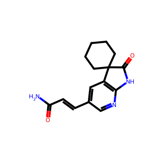 NC(=O)C=Cc1cnc2c(c1)C1(CCCCC1)C(=O)N2